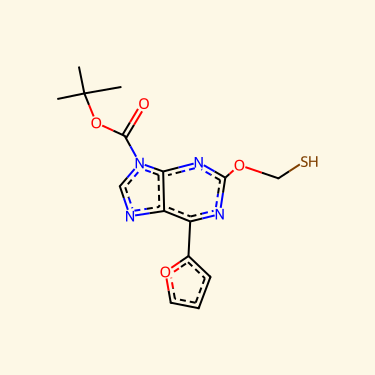 CC(C)(C)OC(=O)n1cnc2c(-c3ccco3)nc(OCS)nc21